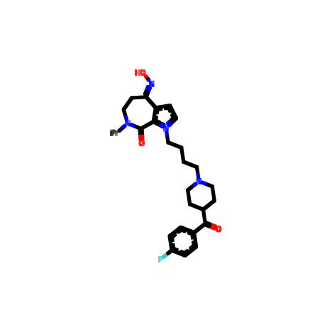 CC(C)N1CCC(=NO)c2ccn(CCCCN3CCC(C(=O)c4ccc(F)cc4)CC3)c2C1=O